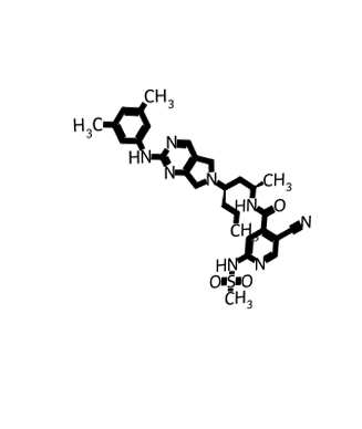 CCC[C@H](C[C@@H](C)NC(=O)c1cc(NS(C)(=O)=O)ncc1C#N)N1Cc2cnc(Nc3cc(C)cc(C)c3)nc2C1